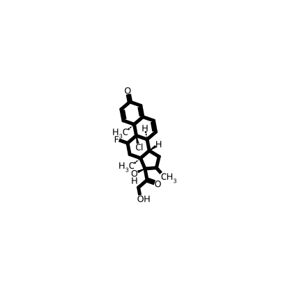 CC1C[C@H]2[C@@H]3C=CC4=CC(=O)C=C[C@]4(C)[C@@]3(Cl)C(F)C[C@]2(C)[C@@]1(O)C(=O)CO